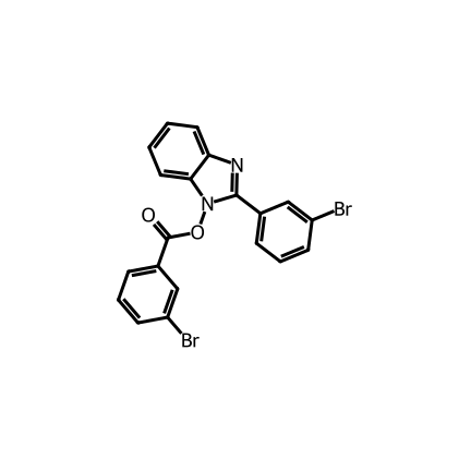 O=C(On1c(-c2cccc(Br)c2)nc2ccccc21)c1cccc(Br)c1